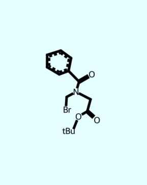 CC(C)(C)OC(=O)CN(CBr)C(=O)c1ccccc1